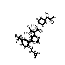 CC(=O)N[C@H]1CC[C@H](NC(=O)c2c(C)[nH]c3c(-c4cc(C(F)(F)F)ccc4OCC4CC4)ncnc23)CC1